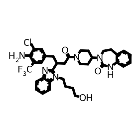 Nc1c(Cl)cc(CC(CC(=O)N2CCC(N3CCc4ccccc4NC3=O)CC2)c2nc3ccccc3n2CCCCO)cc1C(F)(F)F